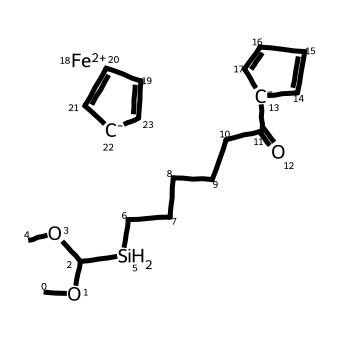 COC(OC)[SiH2]CCCCCC(=O)[c-]1cccc1.[Fe+2].c1cc[cH-]c1